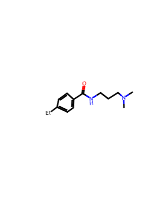 CCc1ccc(C(=O)NCCCN(C)C)cc1